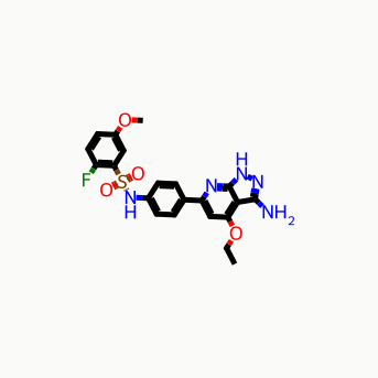 CCOc1cc(-c2ccc(NS(=O)(=O)c3cc(OC)ccc3F)cc2)nc2[nH]nc(N)c12